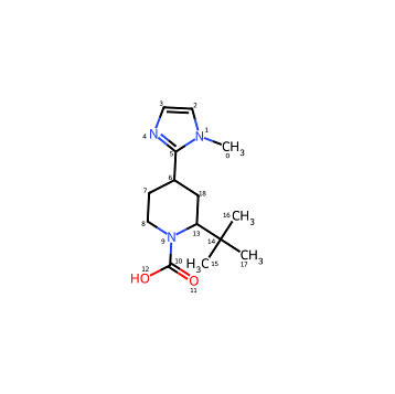 Cn1ccnc1C1CCN(C(=O)O)C(C(C)(C)C)C1